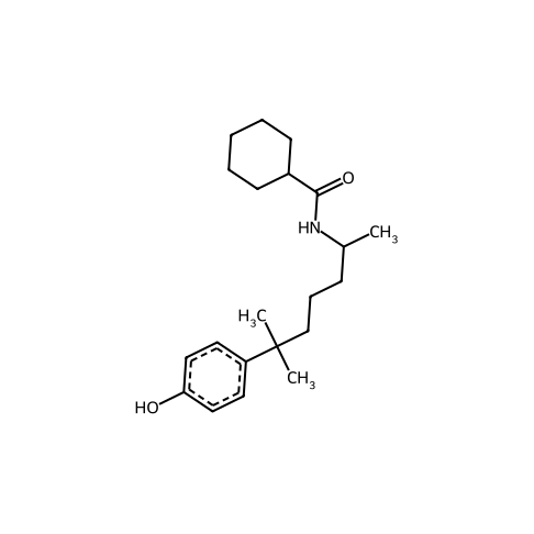 CC(CCCC(C)(C)c1ccc(O)cc1)NC(=O)C1CCCCC1